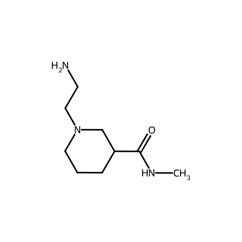 CNC(=O)C1CCCN(CCN)C1